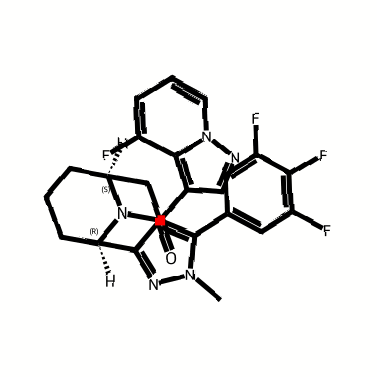 Cn1nc2c(c1-c1cc(F)c(F)c(F)c1)C[C@@H]1CCC[C@H]2N1C(=O)c1cnn2cccc(F)c12